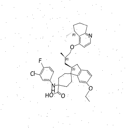 CCOc1ccc2c(c1)C1(CCC(Nc3ccc(F)c(Cl)c3)(C(=O)O)CC1)[C@@H](C[C@@H](C)COc1ccnc3c1[C@H](C)CCC3)C2